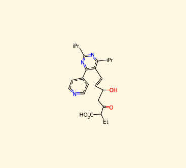 CCC(C(=O)O)C(=O)CC(O)C=Cc1c(-c2ccncc2)nc(C(C)C)nc1C(C)C